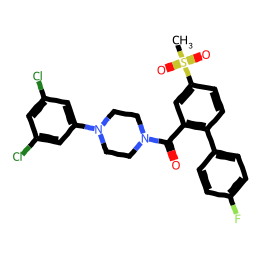 CS(=O)(=O)c1ccc(-c2ccc(F)cc2)c(C(=O)N2CCN(c3cc(Cl)cc(Cl)c3)CC2)c1